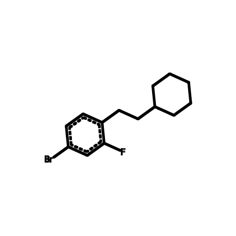 Fc1cc(Br)ccc1CCC1CCCCC1